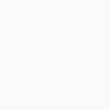 CC1(C)O[C@H](c2ccc(-c3ccc(CS(C)(=O)=O)nc3)cc2)[C@@H](CF)N1C(=O)C(F)F